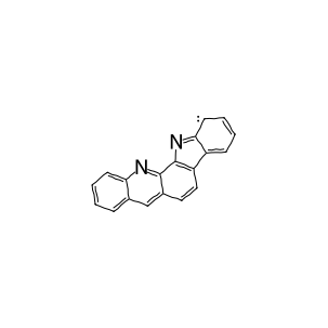 [C]1C=CC=C2C1=Nc1c2ccc2cc3ccccc3nc12